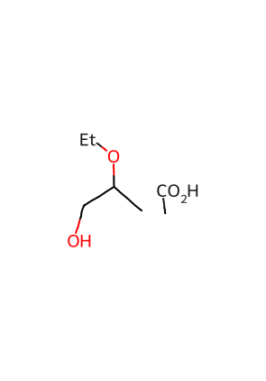 CC(=O)O.CCOC(C)CO